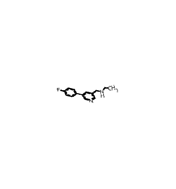 CCNCc1cncc(-c2ccc(F)cc2)c1